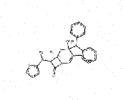 CC(=O)N(c1cccs1)C1C(=O)N2C=C(CO)C(C(=O)O)(C(c3ccccc3)c3ccccc3)S[C@H]12